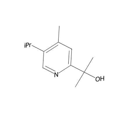 Cc1cc(C(C)(C)O)ncc1C(C)C